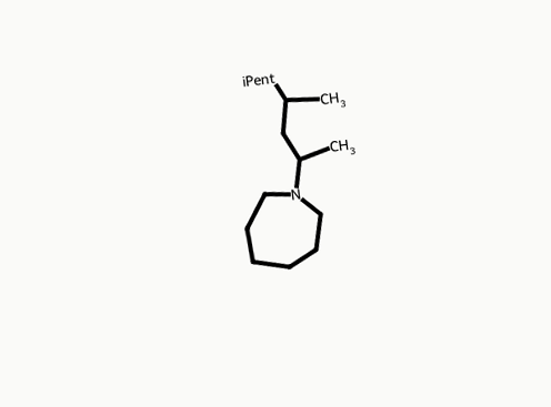 CCCC(C)C(C)CC(C)N1CCCCCC1